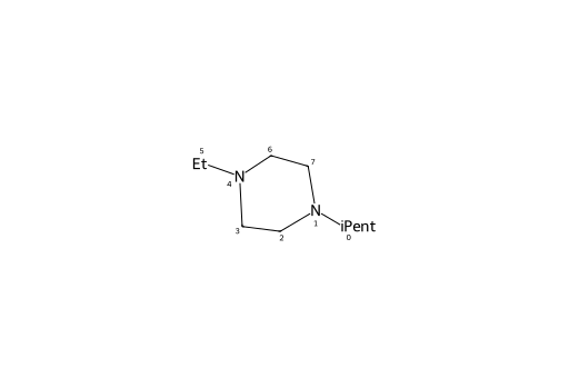 CCCC(C)N1CCN(CC)CC1